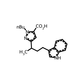 CCCCn1nc(C(C)CCc2c[nH]c3ccccc23)cc1C(=O)O